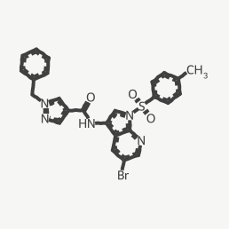 Cc1ccc(S(=O)(=O)n2cc(NC(=O)c3cnn(Cc4ccccc4)c3)c3cc(Br)cnc32)cc1